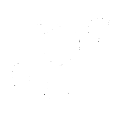 Cc1cccc(C(c2cccc(-c3ccccc3)cnc(Cl)cc2)c2cccnc2)c1